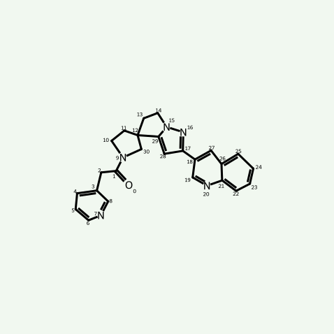 O=C(Cc1cccnc1)N1CCC2(CCn3nc(-c4cnc5ccccc5c4)cc32)C1